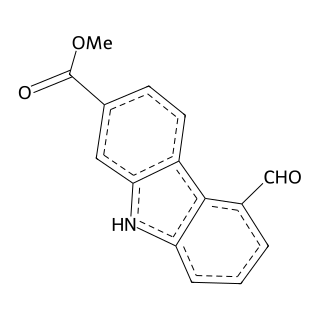 COC(=O)c1ccc2c(c1)[nH]c1cccc(C=O)c12